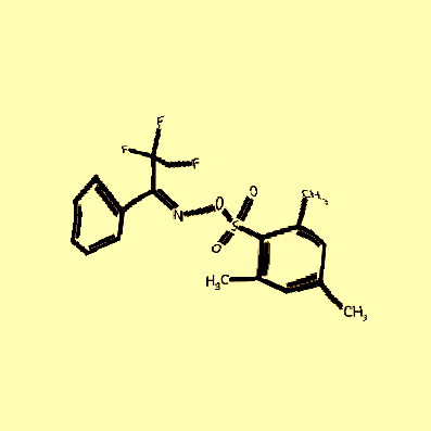 Cc1cc(C)c(S(=O)(=O)ON=C(c2ccccc2)C(F)(F)F)c(C)c1